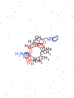 CC[C@H]1OC(=O)[C@@](C)(F)C(=O)[C@H](C)[C@@H](O[C@@H]2O[C@H](CNCc3cccnc3)CC(N(C)C)C2O)[C@](C)(OC)C[C@@H](C)C(=O)[C@H](C)[C@H]2NC(=O)O[C@@]21n1ccc(N)nc1=O